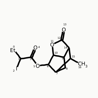 CCC(I)C(=O)OC1C2CC3C1OC(=O)C3C2C